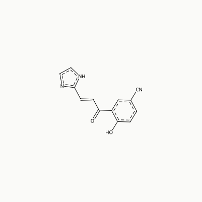 N#Cc1ccc(O)c(C(=O)C=Cc2ncc[nH]2)c1